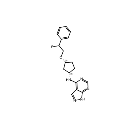 FC(CO[C@@H]1CC[C@H](Nc2ncnc3[nH]ncc23)C1)c1ccccc1